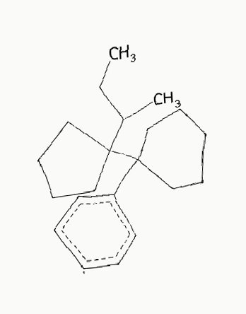 CCC(C)C1(C2(c3cc[c]cc3)CCCCC2)CCCC1